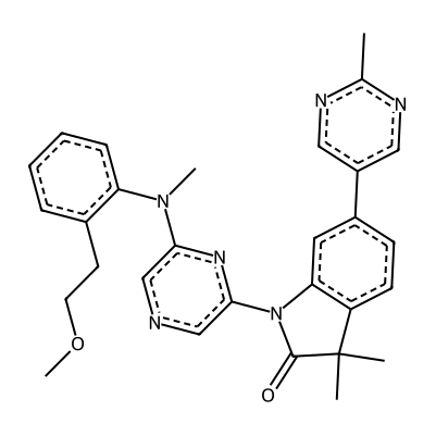 COCCc1ccccc1N(C)c1cncc(N2C(=O)C(C)(C)c3ccc(-c4cnc(C)nc4)cc32)n1